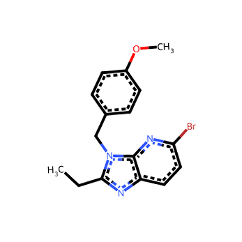 CCc1nc2ccc(Br)nc2n1Cc1ccc(OC)cc1